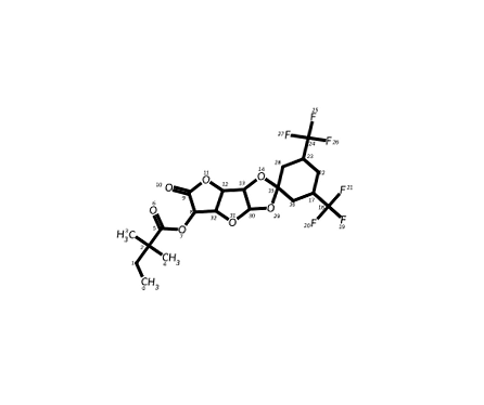 CCC(C)(C)C(=O)OC1C(=O)OC2C3OC4(CC(C(F)(F)F)CC(C(F)(F)F)C4)OC3OC12